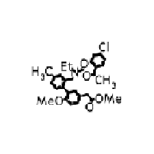 CCN(Cc1cc(C)ccc1-c1cc(CC(=O)OC)ccc1OC)C(=O)OC(C)c1ccc(Cl)cc1